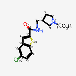 O=C(NC[C@@H]1CCN(C(=O)O)C1)c1cc2cc(Cl)ccc2s1